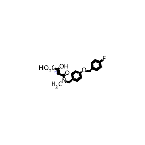 CN(Cc1ccc(OCc2ccc(F)cc2)cc1)C(=O)/C=C(\O)C(=O)O